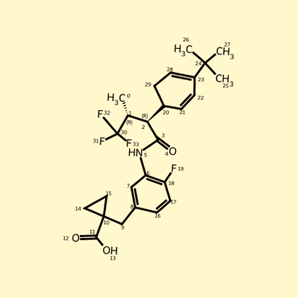 C[C@H]([C@H](C(=O)Nc1cc(CC2(C(=O)O)CC2)ccc1F)C1C=CC(C(C)(C)C)=CC1)C(F)(F)F